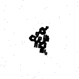 C=NNc1ccc(N)nc1C(=O)N[C@H]1CCC[C@@H]1COc1ccc(F)cc1